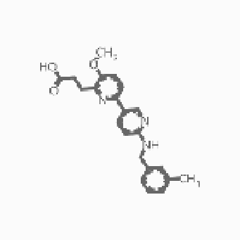 COc1ccc(-c2ccc(NCc3cccc(C)c3)nc2)nc1CCC(=O)O